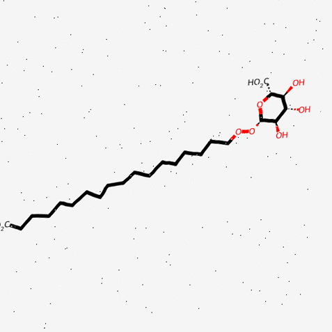 O=C(O)CCCCCCCCCCCCCCCCCOO[C@@H]1O[C@H](C(=O)O)[C@@H](O)[C@H](O)[C@H]1O